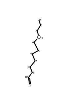 [CH2]CCOCCCCCCC=C